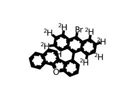 [2H]c1c([2H])c([2H])c2c(-c3cccc4oc5c6ccccc6ccc5c34)c3c([2H])c([2H])c([2H])c([2H])c3c(Br)c2c1[2H]